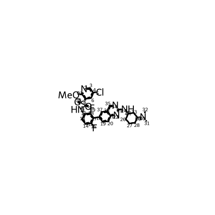 COc1ncc(Cl)cc1S(=O)(=O)Nc1ccc(F)c(-c2ccc3nc(N[C@@H]4CCC[C@H](N(C)C)C4)ncc3c2)c1F